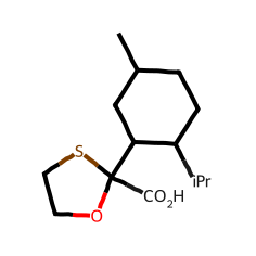 CC1CCC(C(C)C)C(C2(C(=O)O)OCCS2)C1